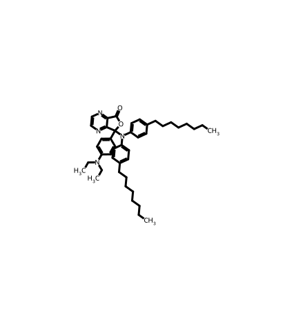 CCCCCCCCc1ccc(N(c2ccc(CCCCCCCC)cc2)C2(c3ccc(N(CC)CC)cc3)OC(=O)c3nccnc32)cc1